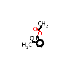 C=CC(=O)OCc1ccccc1C(C)C